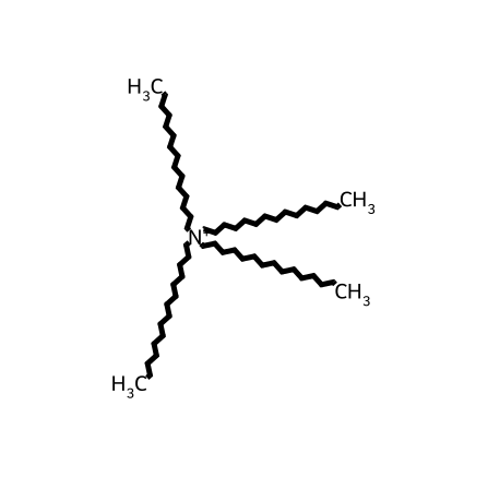 CCCCCCCCCCCCCCC[N+](CCCCCCCCCCCCCCC)(CCCCCCCCCCCCCCC)CCCCCCCCCCCCCCC